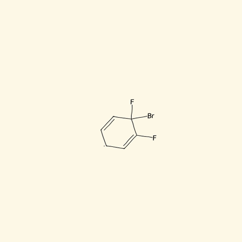 FC1=C[CH]C=CC1(F)Br